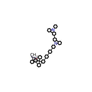 C/C=C(\C=C(/C)c1ccccc1C1(c2cccc(-c3ccc(-c4ccc(-c5ccc(-n6c7ccccc7c7cc(-c8ccc9c(c8)c8ccccc8n9-c8ccccc8)ccc76)cc5)cc4)cc3)c2)c2ccccc2-c2ccccc21)c1ccccc1